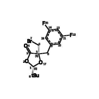 CC(C)(C)[C@@H]1OC(=O)[C@@](CBr)(Cc2cc(F)cc(F)c2)O1